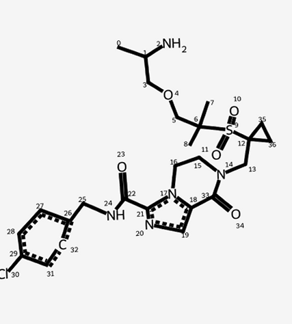 CC(N)COCC(C)(C)S(=O)(=O)C1(CN2CCn3c(cnc3C(=O)NCc3ccc(Cl)cc3)C2=O)CC1